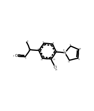 CC(C=O)c1ccc(N2CC=CC2)c(Cl)c1